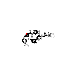 CN1CCN(CC23CC(C(=O)Nc4cc(Nc5cc(-c6cc(Cl)ccc6F)nnc5SCCO[Si](C)(C)C(C)(C)C)ccn4)(C2)C3)CC1